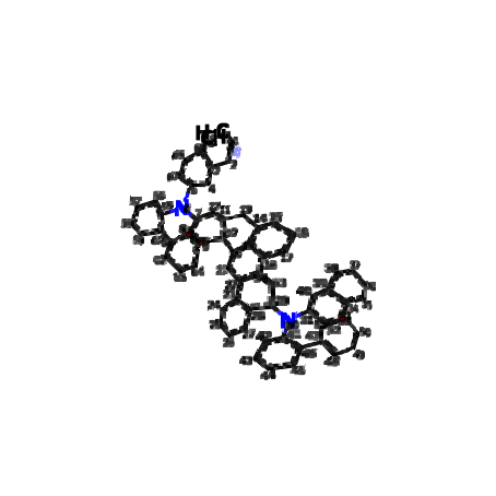 C/C=C\c1cc(N(c2ccc3c(c2)Cc2cccc4c2c-3cc2c3ccccc3c(N(c3ccc5ccccc5c3)c3ccccc3C3=CC=CCC3)cc42)c2ccccc2-c2ccccc2)ccc1C